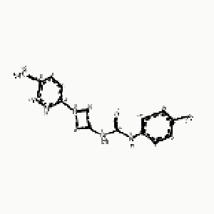 CC(C)c1ccc(NC(=O)NC2CN(c3ccc(C#N)nn3)C2)cc1